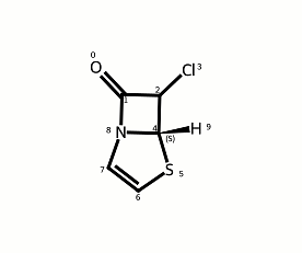 O=C1C(Cl)[C@@H]2SC=CN12